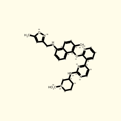 Cc1cc(CNc2cccc3c(Oc4ncccc4-c4ccnc(NC5CCCN(C(=O)O)C5)n4)c(C)ccc23)no1